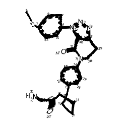 COc1ccc(-n2nnc3c2C(=O)N(c2ccc(C4(CC(N)=O)CCC4)cc2)CC3)cc1